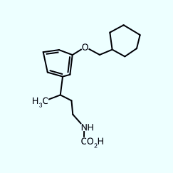 CC(CCNC(=O)O)c1cccc(OCC2CCCCC2)c1